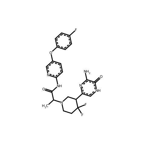 CC(C(=O)Nc1ccc(Oc2ccc(F)cc2)cn1)N1CCC(F)(F)C(c2c[nH]c(=O)c(N)n2)C1